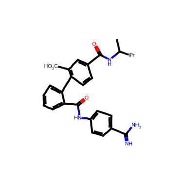 CC(C)C(C)NC(=O)c1ccc(-c2ccccc2C(=O)Nc2ccc(C(=N)N)cc2)c(C(=O)O)c1